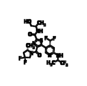 CC(CO)NC(=O)c1nc(C(=O)N2CC(F)(F)C[C@@H]2C)c(-c2cnc(NC(C)C(F)(F)F)cc2C(F)F)s1